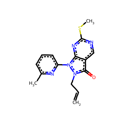 C=CCn1c(=O)c2cnc(SC)nc2n1-c1cccc(C)n1